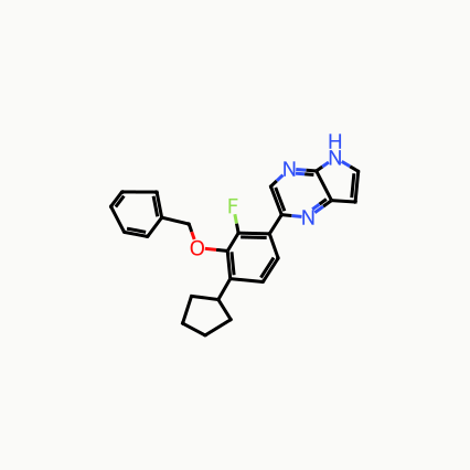 Fc1c(-c2cnc3[nH]ccc3n2)ccc(C2CCCC2)c1OCc1ccccc1